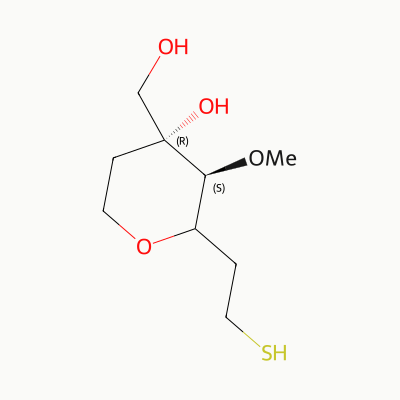 CO[C@H]1C(CCS)OCC[C@@]1(O)CO